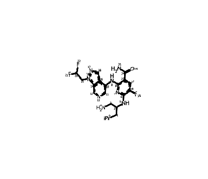 CC(C)CC(CN)Nc1nc(Nc2cncc3c2cnn3CC(F)F)c(C(N)=O)cc1F